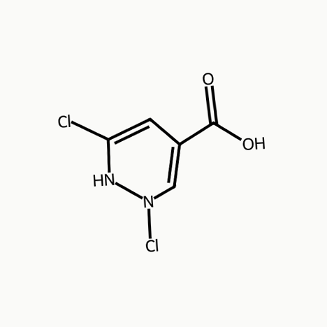 O=C(O)C1=CN(Cl)NC(Cl)=C1